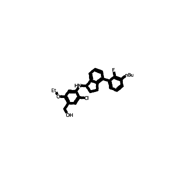 CCCCc1cccc(-c2cccc3c2CCC3Nc2cc(OCC)c(CO)cc2Cl)c1F